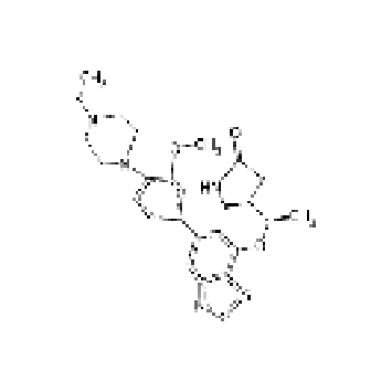 COc1cc(-c2cc(O[C@H](C)[C@H]3CNC(=O)C3)c3scnc3c2)ccc1N1CCN(SC)CC1